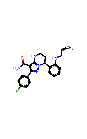 C=CCNc1ccccc1C1CCNc2c(C(N)=O)c(-c3ccc(F)cc3)nn21